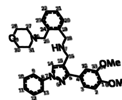 COc1ccc(-c2nn(-c3ccccc3)cc2CNCc2ccccc2CN2CCOCC2)cc1OC